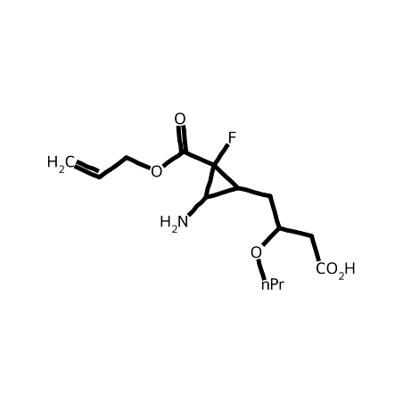 C=CCOC(=O)C1(F)C(N)C1CC(CC(=O)O)OCCC